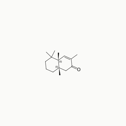 CC1=C[C@@]2(C)C(C)(C)CCC[C@@]2(C)CC1=O